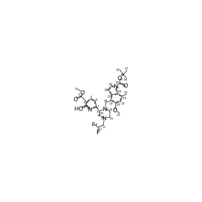 COC(=O)c1ccc([C@@H]2CN(CC(F)F)CCN2Cc2c(OC)cc(C)c3c2ccn3C(=O)OC(C)(C)C)nc1O